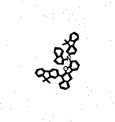 CC1(C)c2ccccc2-c2ccc(-c3c4ccccc4cc4c3oc3c(N(c5ccc6c(c5)C(C)(C)c5ccccc5-6)c5cccc6ccccc56)cccc34)cc21